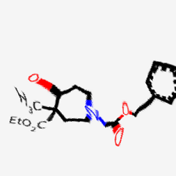 CCOC(=O)C1(C)CCN(C(=O)OCc2ccccc2)CCC1=O